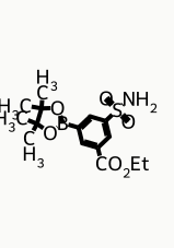 CCOC(=O)c1cc(B2OC(C)(C)C(C)(C)O2)cc(S(N)(=O)=O)c1